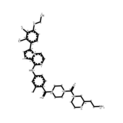 Cc1cc(Nc2nccn3c(-c4ccc(OCC#N)c(F)c4Cl)cnc23)ccc1C(=O)N1CCN(C(=O)N2CCOC(CCN)C2)CC1